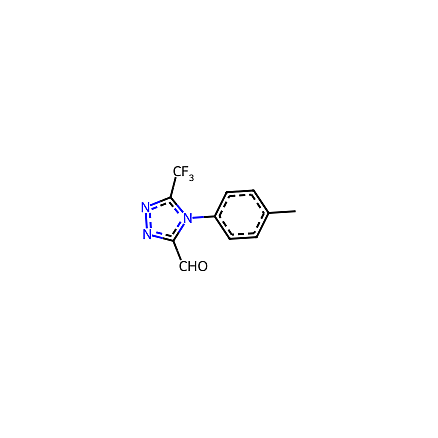 Cc1ccc(-n2c(C=O)nnc2C(F)(F)F)cc1